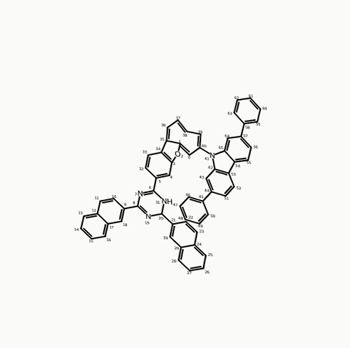 C1=c2\oc3cc(C4=NC(c5ccc6ccccc6c5)=NC(c5ccc6ccccc6c5)N4)ccc3\c2=C\C=C\C=C/1n1c2cc(-c3ccccc3)ccc2c2ccc(-c3ccccc3)cc21